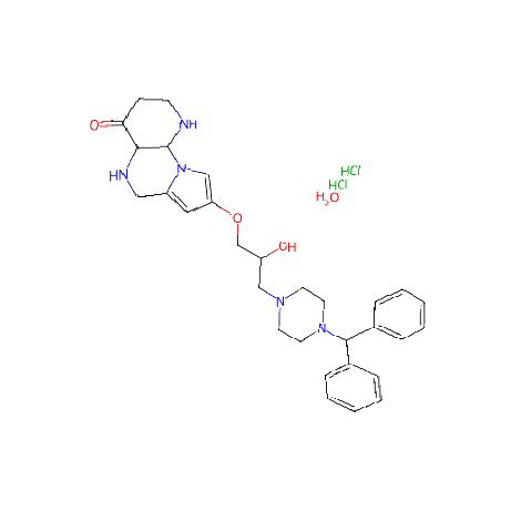 Cl.Cl.O.O=C1CCNC2C1NCc1cc(OCC(O)CN3CCN(C(c4ccccc4)c4ccccc4)CC3)cn12